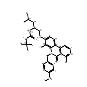 COc1ccc(Cn2c(=O)c3c(C)nccc3c3ccc(OCC(CC(C)C)NC(=O)OC(C)(C)C)c(F)c32)cc1